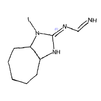 N=C/N=C1\NC2CCCCCC2N1I